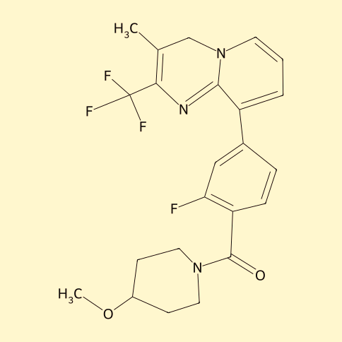 COC1CCN(C(=O)c2ccc(C3=CC=CN4CC(C)=C(C(F)(F)F)N=C34)cc2F)CC1